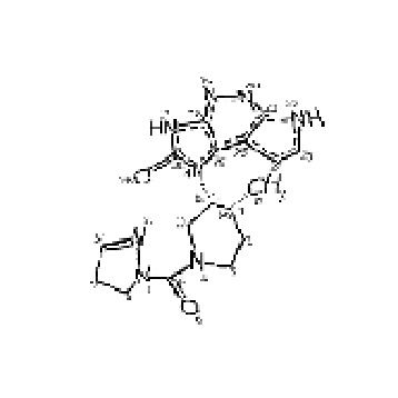 C[C@@H]1CCN(C(=O)N2CCC=N2)C[C@@H]1n1c(=O)[nH]c2nnc3[nH]ccc3c21